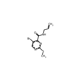 C=CCNC(=O)c1nc(SC)ncc1Br